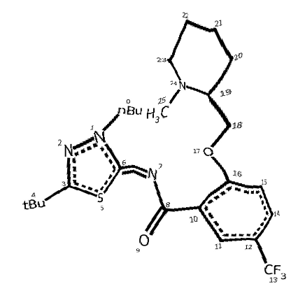 CCCCn1nc(C(C)(C)C)sc1=NC(=O)c1cc(C(F)(F)F)ccc1OCC1CCCCN1C